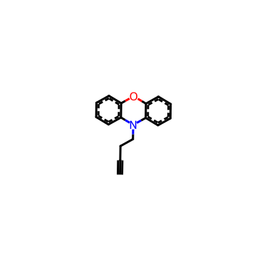 C#CCCN1c2ccccc2Oc2ccccc21